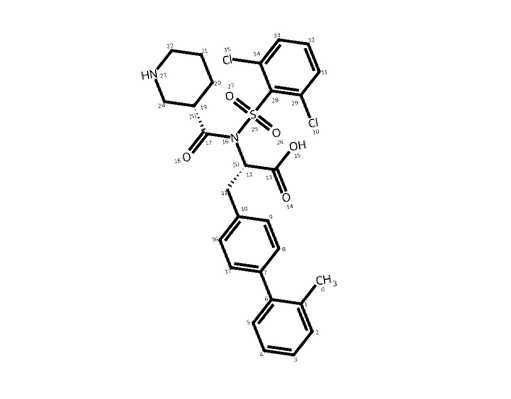 Cc1ccccc1-c1ccc(C[C@@H](C(=O)O)N(C(=O)[C@H]2CCCNC2)S(=O)(=O)c2c(Cl)cccc2Cl)cc1